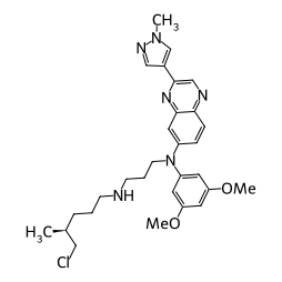 COc1cc(OC)cc(N(CCCNCCC[C@H](C)CCl)c2ccc3ncc(-c4cnn(C)c4)nc3c2)c1